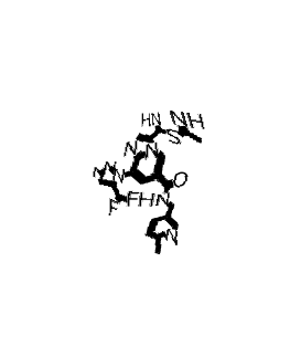 CC(=N)SC(=N)c1cnc2c(-n3nncc3C(F)F)cc(C(=O)NCc3ccc(C)nc3)cn12